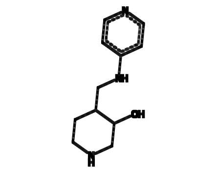 OC1CNCCC1CNc1ccncc1